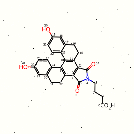 O=C(O)CCCN1C(=O)c2c3c(c4c(c2C1=O)CCc1cc(O)ccc1-4)-c1ccc(O)cc1CC3